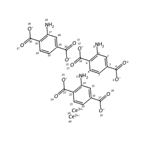 Nc1cc(C(=O)[O-])ccc1C(=O)[O-].Nc1cc(C(=O)[O-])ccc1C(=O)[O-].Nc1cc(C(=O)[O-])ccc1C(=O)[O-].[Ce+3].[Ce+3]